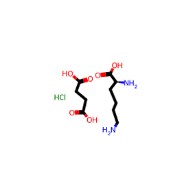 Cl.NCCCC[C@H](N)C(=O)O.O=C(O)CCC(=O)O